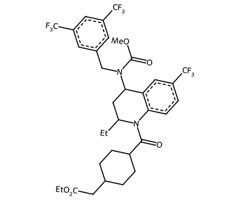 CCOC(=O)CC1CCC(C(=O)N2c3ccc(C(F)(F)F)cc3C(N(Cc3cc(C(F)(F)F)cc(C(F)(F)F)c3)C(=O)OC)CC2CC)CC1